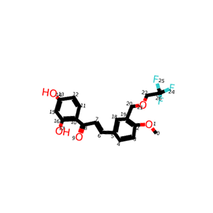 COc1ccc(/C=C/C(=O)c2ccc(O)cc2O)cc1COCC(F)(F)F